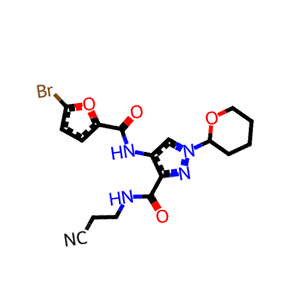 N#CCCNC(=O)c1nn(C2CCCCO2)cc1NC(=O)c1ccc(Br)o1